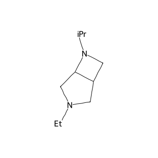 CCN1CC2CN(C(C)C)C2C1